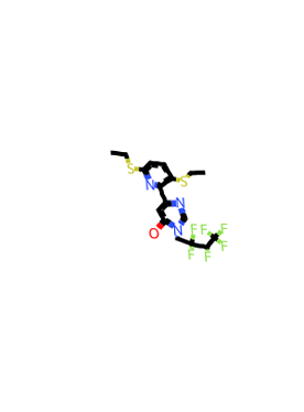 CCSc1ccc(SCC)c(-c2cc(=O)n(CC(F)(F)C(F)C(F)(F)F)cn2)n1